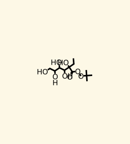 CCC(O)(C(=O)OOC(C)(C)C)C(O)C(O)C(O)CO